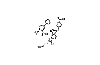 Cc1ccc(-c2ccccc2)cc1C(=O)O.O=C(O)c1ccc(Cn2nnc3cc(C(=O)NCCCO)ccc32)cc1